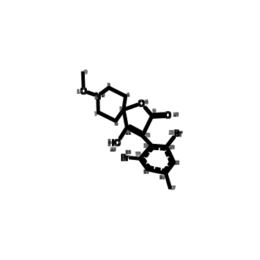 CON1CCC2(CC1)OC(=O)C(c1c(Br)cc(C)cc1Br)=C2O